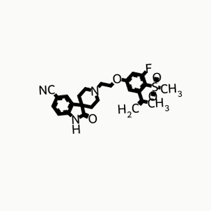 C=C(C)c1cc(OCCN2CCC3(CC2)C(=O)Nc2ccc(C#N)cc23)cc(F)c1S(C)(=O)=O